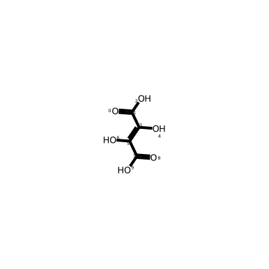 O=C(O)C(O)=C(O)C(=O)O